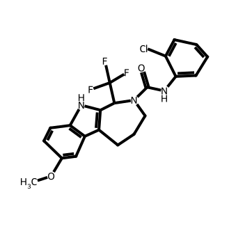 COc1ccc2[nH]c3c(c2c1)CCCN(C(=O)Nc1ccccc1Cl)C3C(F)(F)F